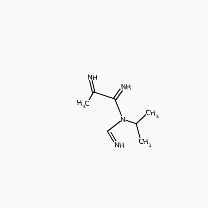 CC(=N)C(=N)N(C=N)C(C)C